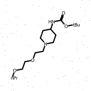 CCCOCCOCCN1CCC(NC(=O)OC(C)(C)C)CC1